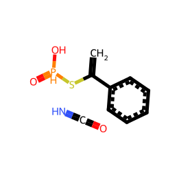 C=C(S[PH](=O)O)c1ccccc1.N=C=O